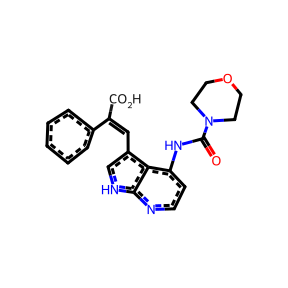 O=C(O)C(=Cc1c[nH]c2nccc(NC(=O)N3CCOCC3)c12)c1ccccc1